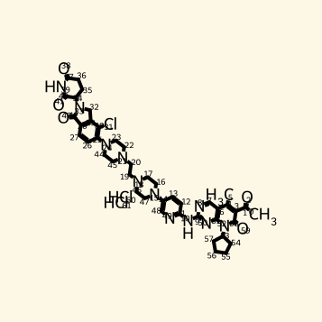 CC(=O)c1c(C)c2cnc(Nc3ccc(N4CCN(CCN5CCN(c6ccc7c(c6Cl)CN(C6CCC(=O)NC6=O)C7=O)CC5)CC4)cn3)nc2n(C2CCCC2)c1=O.Cl.Cl